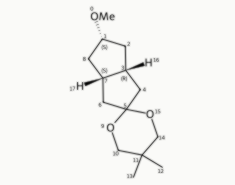 CO[C@@H]1C[C@@H]2CC3(C[C@@H]2C1)OCC(C)(C)CO3